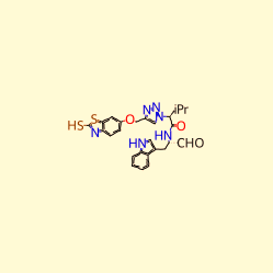 CC(C)[C@@H](C(=O)N[C@H](C=O)Cc1c[nH]c2ccccc12)n1cc(COc2ccc3nc(S)sc3c2)nn1